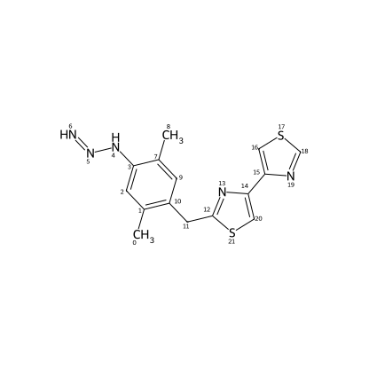 Cc1cc(NN=N)c(C)cc1Cc1nc(-c2cscn2)cs1